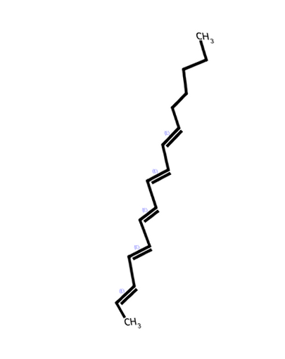 C/C=C/C=C/C=C/C=C/C=C/CCCCC